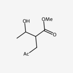 COC(=O)C(CC(C)=O)C(C)O